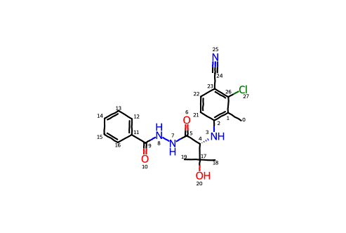 Cc1c(N[C@@H](C(=O)NNC(=O)c2ccccc2)C(C)(C)O)ccc(C#N)c1Cl